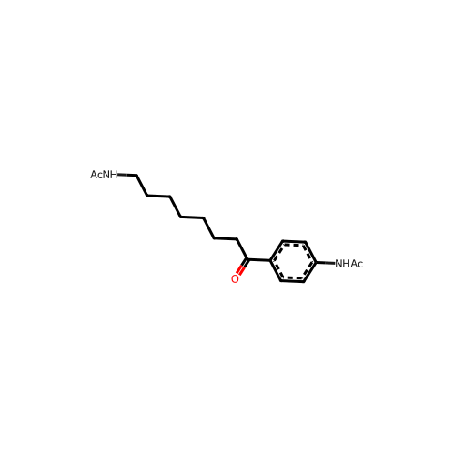 CC(=O)NCCCCCCCC(=O)c1ccc(NC(C)=O)cc1